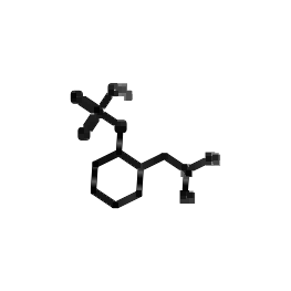 CCN(CC)CC1CCCCC1OS(C)(=O)=O